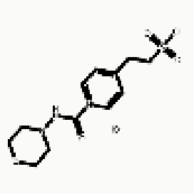 O=C(NN1CCOCC1)[n+]1ccc(CCS(=O)(=O)O)cc1.[OH-]